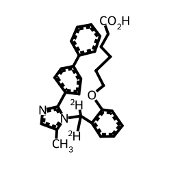 [2H]C([2H])(c1ccccc1OCCCCCC(=O)O)n1c(C)cnc1-c1ccc(-c2ccccc2)cc1